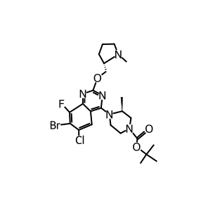 C[C@H]1CN(C(=O)OC(C)(C)C)CCN1c1nc(OC[C@@H]2CCCN2C)nc2c(F)c(Br)c(Cl)cc12